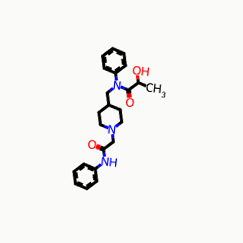 CC(O)C(=O)N(CC1CCN(CC(=O)Nc2ccccc2)CC1)c1ccccc1